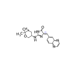 CC1(C)CCC(NC2=N/C(=C\c3ccc4nccnc4c3)C(=O)N2)CO1